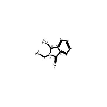 CC(C)CN1C(=O)c2ccccc2C1O